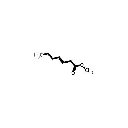 CCCC=CCC(=O)OC